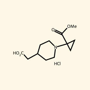 COC(=O)C1(N2CCC(CC(=O)O)CC2)CC1.Cl